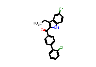 O=C(O)Cc1c(C(=O)c2ccc(-c3ccccc3Cl)cc2)[nH]c2ccc(Br)cc12